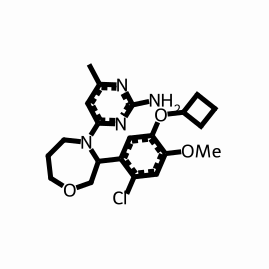 COc1cc(Cl)c(C2COCCCN2c2cc(C)nc(N)n2)cc1OC1CCC1